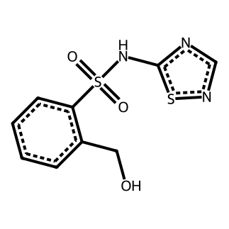 O=S(=O)(Nc1ncns1)c1ccccc1CO